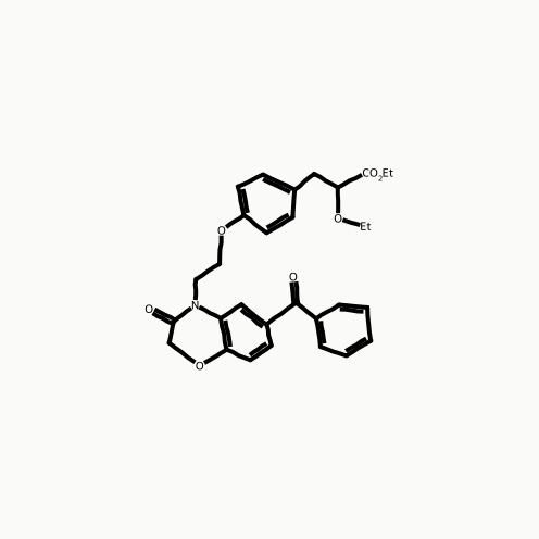 CCOC(=O)C(Cc1ccc(OCCN2C(=O)COc3ccc(C(=O)c4ccccc4)cc32)cc1)OCC